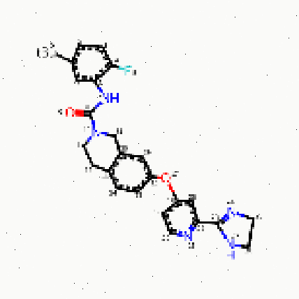 CC(C)(C)c1ccc(F)c(NC(=O)N2CCc3ccc(Oc4ccnc(C5=NCCN5)c4)cc3C2)c1